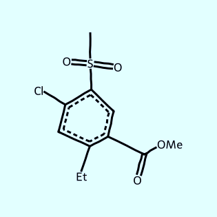 CCc1cc(Cl)c(S(C)(=O)=O)cc1C(=O)OC